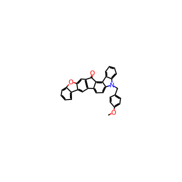 COc1ccc(Cn2c3ccccc3c3c4c(ccc32)-c2cc3c(cc2C4=O)oc2ccccc23)cc1